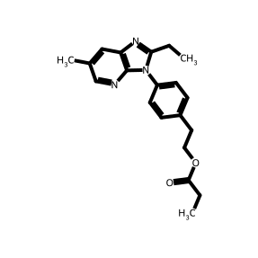 CCC(=O)OCCc1ccc(-n2c(CC)nc3cc(C)cnc32)cc1